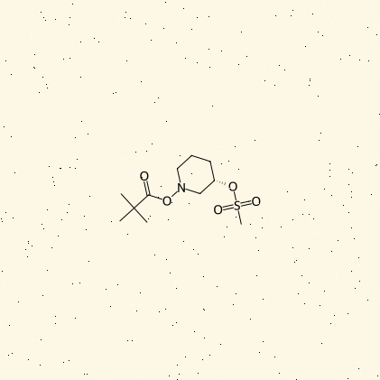 CC(C)(C)C(=O)ON1CCC[C@H](OS(C)(=O)=O)C1